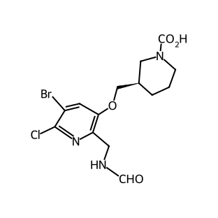 O=CNCc1nc(Cl)c(Br)cc1OC[C@@H]1CCCN(C(=O)O)C1